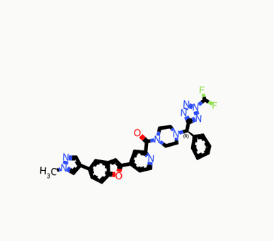 Cn1cc(-c2ccc3oc(-c4ccnc(C(=O)N5CCN([C@H](c6ccccc6)c6nnn(C(F)F)n6)CC5)c4)cc3c2)cn1